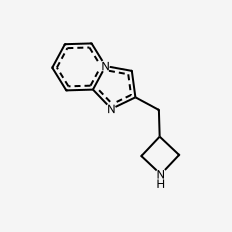 c1ccn2cc(CC3CNC3)nc2c1